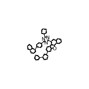 c1ccc(-c2cccc(-c3ccc4c(c3)oc3c5ccccc5cc(-c5nc(-c6ccccc6)nc(-c6ccc(-c7cccc8ccccc78)cc6)n5)c43)c2)cc1